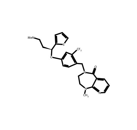 CNCC[C@H](Oc1ccc(CN2CCN(C)c3ncccc3C2=O)c(C(F)(F)F)c1)c1cccs1